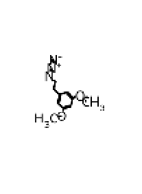 COc1cc(CCN=[N+]=[N-])cc(OC)c1